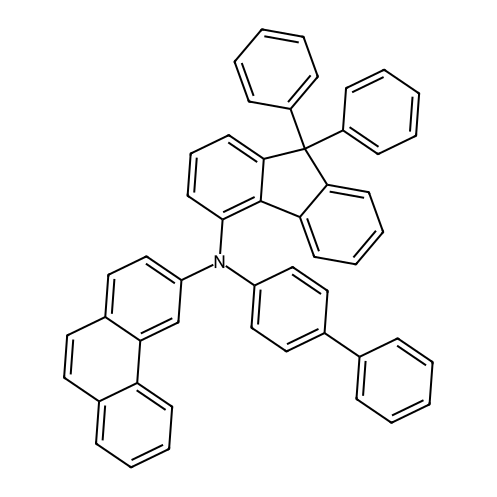 c1ccc(-c2ccc(N(c3ccc4ccc5ccccc5c4c3)c3cccc4c3-c3ccccc3C4(c3ccccc3)c3ccccc3)cc2)cc1